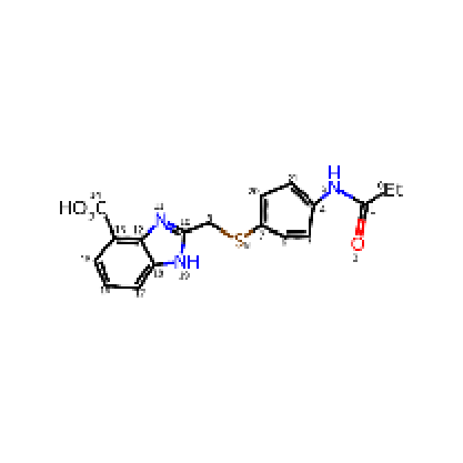 CCC(=O)Nc1ccc(SCc2nc3c(C(=O)O)cccc3[nH]2)cc1